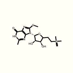 C=P(C)(C)CCC1O[C@@H](n2c(SC)nc3c(=O)[nH]c(C)nc32)[C@H](O)[C@@H]1O